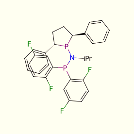 CC(C)N(P(c1cc(F)ccc1F)c1cc(F)ccc1F)P1[C@H](c2ccccc2)CC[C@H]1c1ccccc1